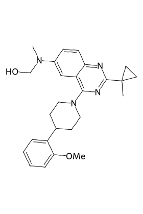 COc1ccccc1C1CCN(c2nc(C3(C)CC3)nc3ccc(N(C)CO)cc23)CC1